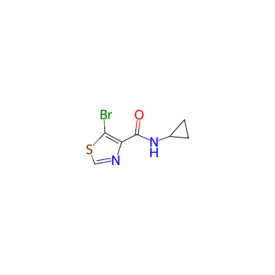 O=C(NC1CC1)c1ncsc1Br